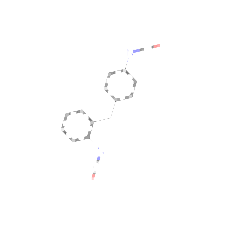 O=C=Nc1ccc(Cc2ccccc2N=C=O)cc1